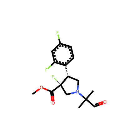 COC(=O)[C@]1(F)CN(C(C)(C)C=O)C[C@H]1c1ccc(F)cc1F